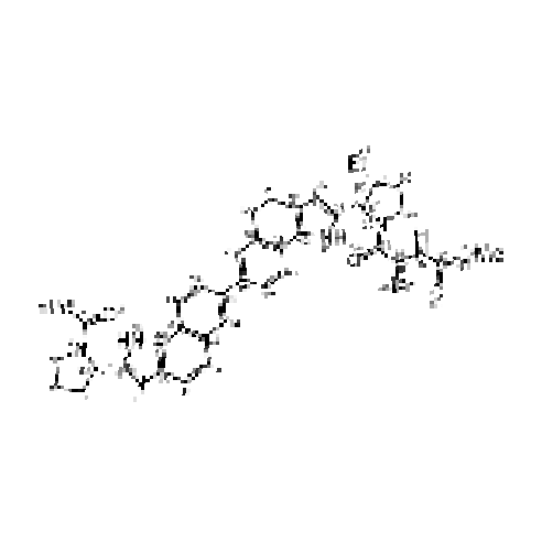 CCCC(=O)N1CCC[C@H]1c1nc2ccc3cc(-c4ccc5c(c4)CCc4nc([C@@H]6[C@H](CC)CCN6C(=O)[C@@H](NC(=O)OC)C(C)C)[nH]c4-5)ccc3c2[nH]1